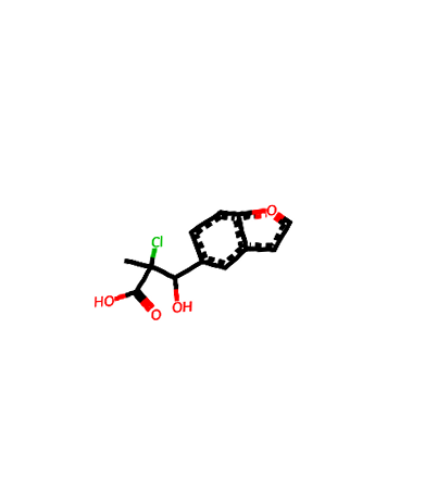 CC(Cl)(C(=O)O)C(O)c1ccc2occc2c1